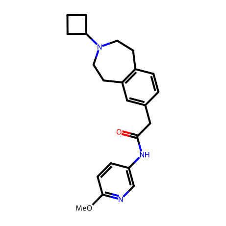 COc1ccc(NC(=O)Cc2ccc3c(c2)CCN(C2CCC2)CC3)cn1